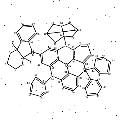 CC12CCCCC1(C)N(c1cc3c4c(c1)N(C15CC6CC1CC6C5)c1cccc5c1B4c1c(cccc1[Si]5(c1ccccc1)c1ccccc1)N3c1ccccc1)c1ccccc12